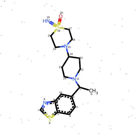 CC(c1ccc2scnc2c1)N1CCC(N2CCS(=N)(=O)CC2)CC1